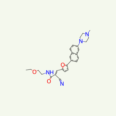 CCOCCNC(=O)/C(C#N)=C/c1ccc(-c2ccc3cc(N4CCN(C)CC4)ccc3c2)o1